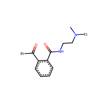 CCN(C)CCNC(=O)c1ccccc1C(=O)C(C)C